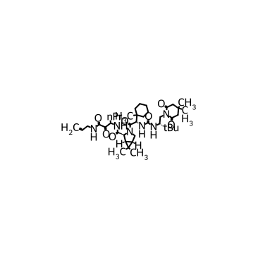 C=CCNC(=O)C(=O)C(CCC)NC(=O)[C@@H]1[C@@H]2[C@H](CN1C(=O)[C@@H](NC(=O)N[C@H](CN1C(=O)CC(C)(C)CC1=O)C(C)(C)C)C1(C)CCCCC1)C2(C)C